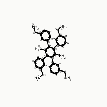 NCc1cccc(-c2c(N)c(-c3cccc(CN)c3)c(-c3cccc(CN)c3)c(N)c2-c2cccc(CN)c2)c1